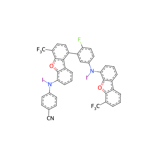 N#Cc1ccc(N(I)c2cccc3c2oc2c(C(F)(F)F)ccc(-c4cc(N(I)c5cccc6c5oc5c(C(F)(F)F)cccc56)ccc4F)c23)cc1